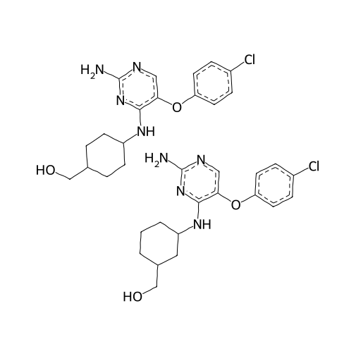 Nc1ncc(Oc2ccc(Cl)cc2)c(NC2CCC(CO)CC2)n1.Nc1ncc(Oc2ccc(Cl)cc2)c(NC2CCCC(CO)C2)n1